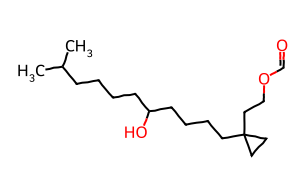 CC(C)CCCCC(O)CCCCC1(CCOC=O)CC1